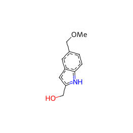 COCc1ccc2[nH]c(CO)cc2c1